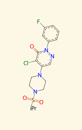 CC(C)S(=O)(=O)N1CCN(c2cnn(-c3cccc(F)c3)c(=O)c2Cl)CC1